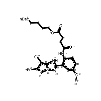 CCCCCCCCCCCCCCOC(=O)CCC(=O)Nc1ccc(OCC)cc1-c1nn2nc(C(C)(C)C)c(Cl)c2[nH]1